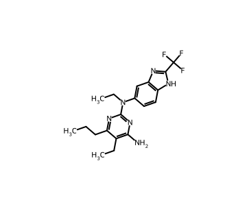 CCCc1nc(N(CC)c2ccc3[nH]c(C(F)(F)F)nc3c2)nc(N)c1CC